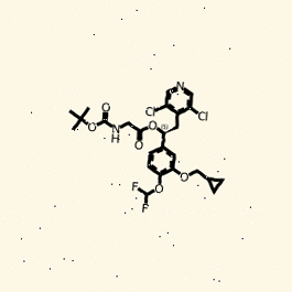 CC(C)(C)OC(=O)NCC(=O)O[C@@H](Cc1c(Cl)cncc1Cl)c1ccc(OC(F)F)c(OCC2CC2)c1